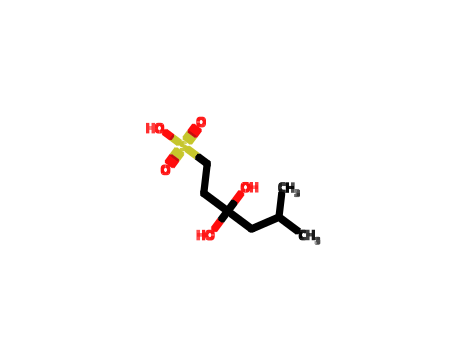 CC(C)CC(O)(O)CCS(=O)(=O)O